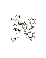 COC(c1ccccc1)c1c(C(C(C)C)N(CCCN)C(=O)c2ccc(C)c(F)c2)oc2cc(F)ccc2c1=O